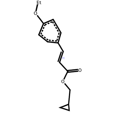 CCOc1ccc(/C=C/C(=O)OCC2CC2)cc1